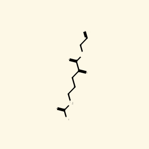 C=CCOC(=O)C(=C)CCCNC(=O)O